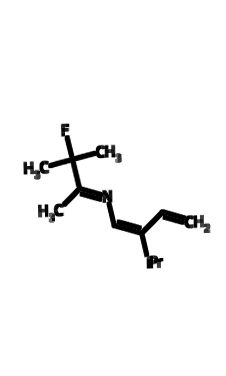 C=C/C(=C\N=C(/C)C(C)(C)F)C(C)C